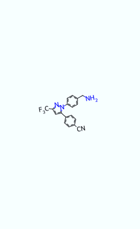 N#Cc1ccc(-c2cc(C(F)(F)F)nn2-c2ccc(CN)cc2)cc1